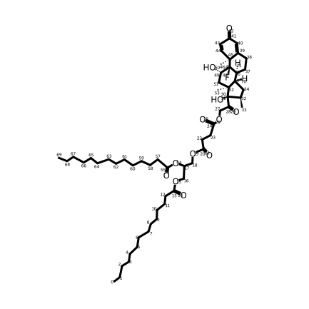 CCCCCCCCCCCCCC(=O)OCC(COC(=O)CCC(=O)OCC(=O)[C@@]1(O)[C@H](C)C[C@H]2[C@@H]3CCC4=CC(=O)C=C[C@]4(C)[C@@]3(F)[C@@H](O)C[C@@]21C)OC(=O)CCCCCCCCCCCCC